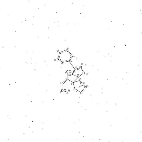 O=C(O)/C=C(/C(=O)O)C12CCN(CC1)CC21CC(c2cccnc2)=NO1